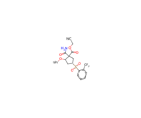 CCCOC1CC(S(=O)(=O)c2ccccc2C(F)(F)F)CC1(C(N)=O)C(=O)OCC#N